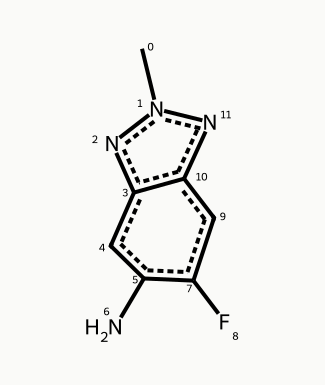 Cn1nc2cc(N)c(F)cc2n1